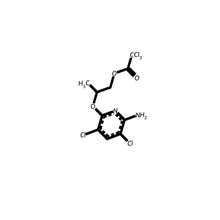 CC(COC(=O)C(Cl)(Cl)Cl)Oc1nc(N)c(Cl)cc1Cl